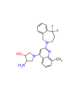 Cc1cccc2c(N3CC(N)C(O)C3)cc(N3CCC(F)(F)c4ccccc4C3)nc12